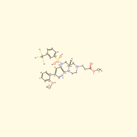 COC(=O)CCN1CCN2c3ncc(-c4ccccc4OC)cc3N(S(=O)(=O)c3cccc(C(F)(F)F)c3)C[C@@H]2C1